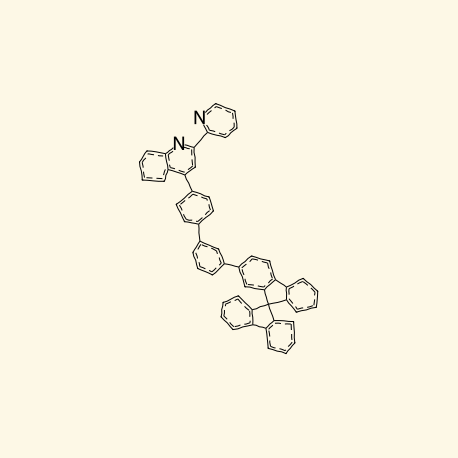 c1ccc(-c2cc(-c3ccc(-c4cccc(-c5ccc6c(c5)C5(c7ccccc7-c7ccccc75)c5ccccc5-6)c4)cc3)c3ccccc3n2)nc1